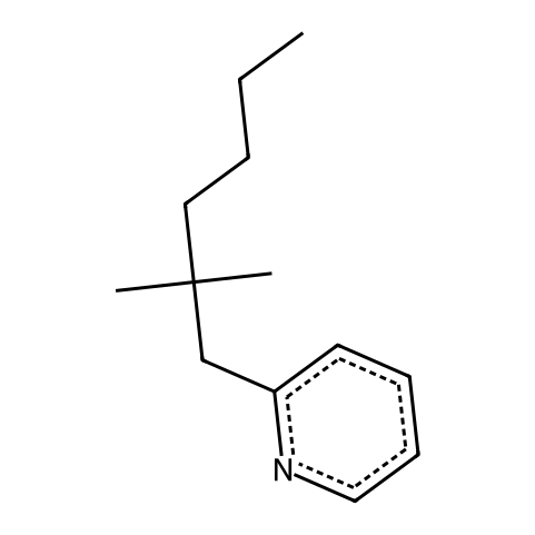 CCCCC(C)(C)Cc1ccccn1